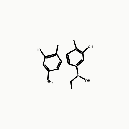 CCN(O)c1ccc(C)c(O)c1.Cc1ccc(N)cc1O